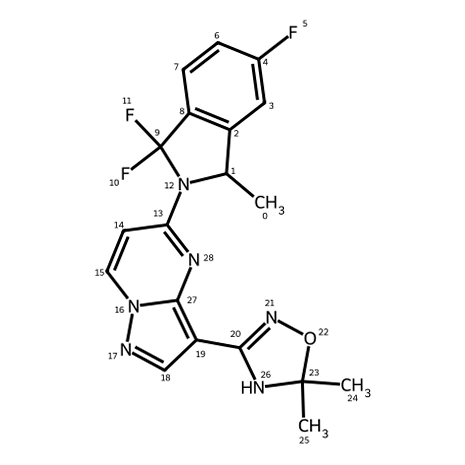 CC1c2cc(F)ccc2C(F)(F)N1c1ccn2ncc(C3=NOC(C)(C)N3)c2n1